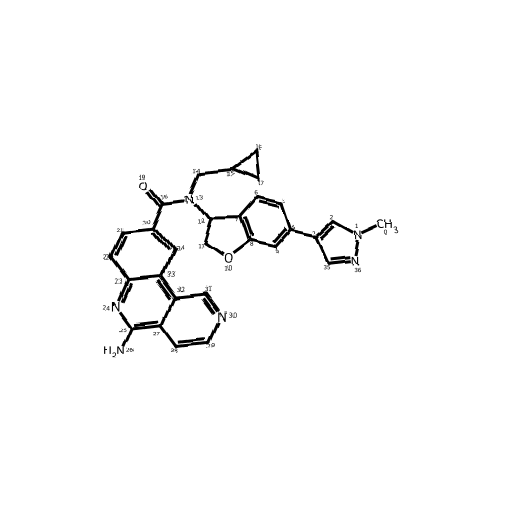 Cn1cc(-c2ccc3c(c2)OCC3N(CC2CC2)C(=O)c2ccc3nc(N)c4ccncc4c3c2)cn1